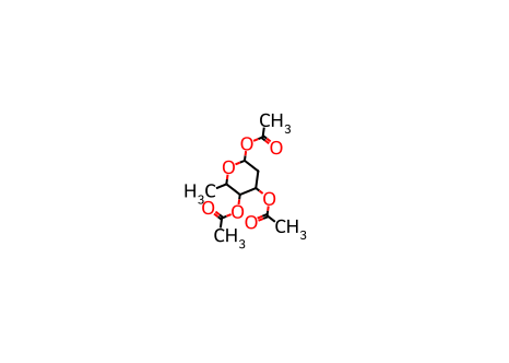 CC(=O)OC1CC(OC(C)=O)C(OC(C)=O)C(C)O1